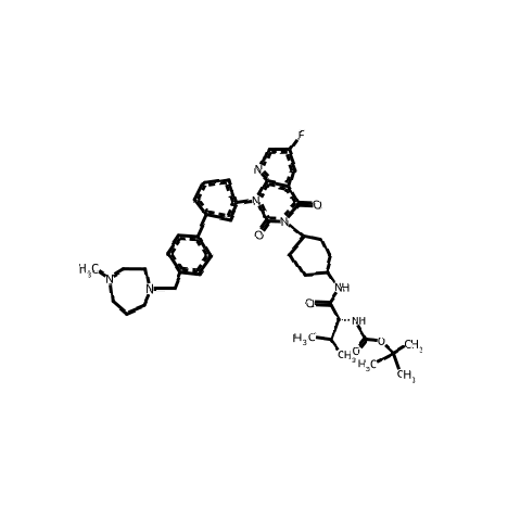 CC(C)[C@@H](NC(=O)OC(C)(C)C)C(=O)NC1CCC(n2c(=O)c3cc(F)cnc3n(-c3cccc(-c4ccc(CN5CCCN(C)CC5)cc4)c3)c2=O)CC1